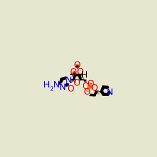 C[C@@]12OC(=O)O[C@@H]1[C@@H](COP1(=O)OCC[C@@H](c3ccncc3)O1)O[C@H]2n1ccc(N)nc1=O